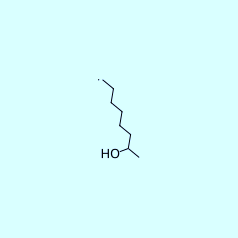 [CH2]CCCCCC(C)O